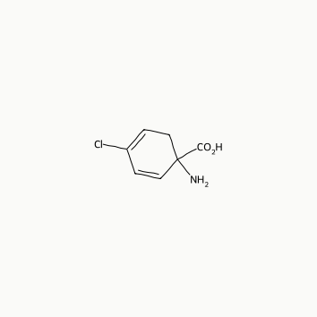 NC1(C(=O)O)C=CC(Cl)=CC1